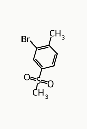 Cc1ccc(S(C)(=O)=O)cc1Br